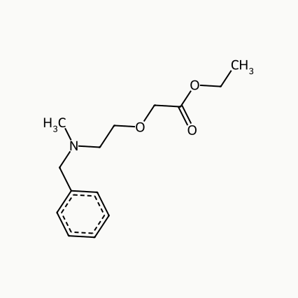 CCOC(=O)COCCN(C)Cc1ccccc1